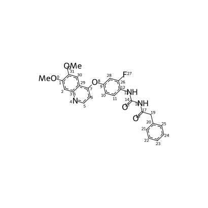 COc1cc2nccc(Oc3ccc(NC(=O)NC(=O)Cc4ccccc4)c(F)c3)c2cc1OC